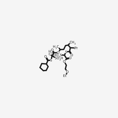 CCOCCOC(=O)C(SC(=O)C(C(C)C)C(C)CCC(C)OC(=O)C(C)(SC(=O)C1CCCCC1)S(=O)(=O)O)S(=O)(=O)O